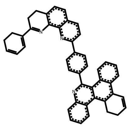 C1=CCCC(C2=Nc3c(ccc4ccc(-c5ccc(-c6nc7ccccc7c7c8c(c9ccccc9c67)C=CCC8)cc5)nc34)CC2)=C1